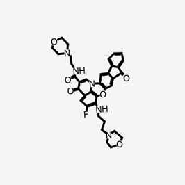 O=C(NCCN1CCOCC1)c1cn2c3cc4c(cc3oc3c(NCCCN5CCOCC5)c(F)cc(c1=O)c32)c(=O)c1ccccc14